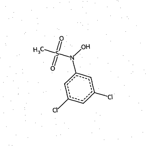 CS(=O)(=O)N(O)c1cc(Cl)cc(Cl)c1